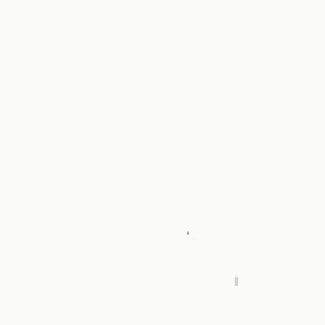 [c]1ccc(-c2ccccc2)cc1N1CCNC1